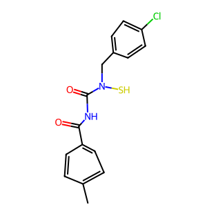 Cc1ccc(C(=O)NC(=O)N(S)Cc2ccc(Cl)cc2)cc1